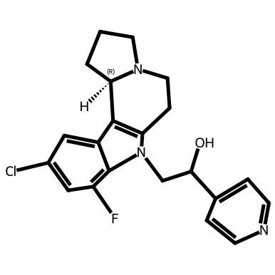 OC(Cn1c2c(c3cc(Cl)cc(F)c31)[C@H]1CCCN1CC2)c1ccncc1